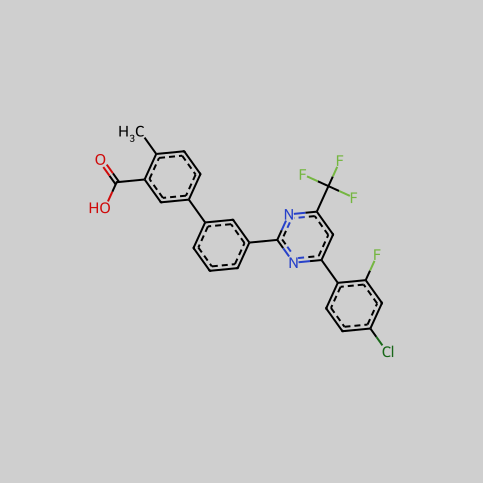 Cc1ccc(-c2cccc(-c3nc(-c4ccc(Cl)cc4F)cc(C(F)(F)F)n3)c2)cc1C(=O)O